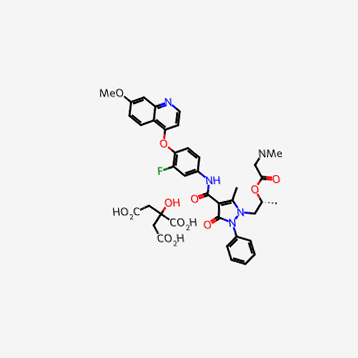 CNCC(=O)O[C@H](C)Cn1c(C)c(C(=O)Nc2ccc(Oc3ccnc4cc(OC)ccc34)c(F)c2)c(=O)n1-c1ccccc1.O=C(O)CC(O)(CC(=O)O)C(=O)O